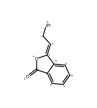 CC(C)C/C=C1\OC(=O)c2ccccc21